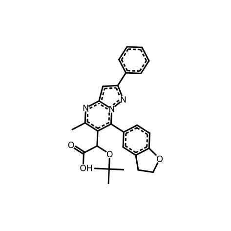 Cc1nc2cc(-c3ccccc3)nn2c(-c2ccc3c(c2)CCO3)c1C(OC(C)(C)C)C(=O)O